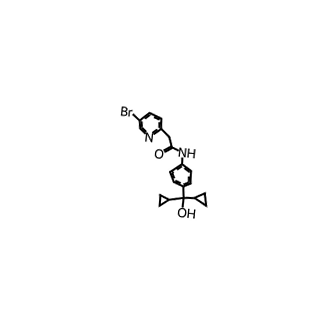 O=C(Cc1ccc(Br)cn1)Nc1ccc(C(O)(C2CC2)C2CC2)cc1